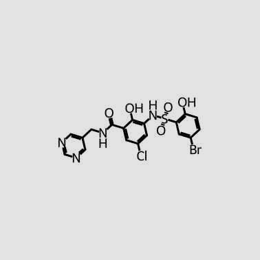 O=C(NCc1cncnc1)c1cc(Cl)cc(NS(=O)(=O)c2cc(Br)ccc2O)c1O